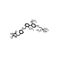 COc1cc(OCCC(C)(C)O)ccc1-c1cccc(COc2ccc(Cn3oc(=O)[nH]c3=O)cc2)c1C